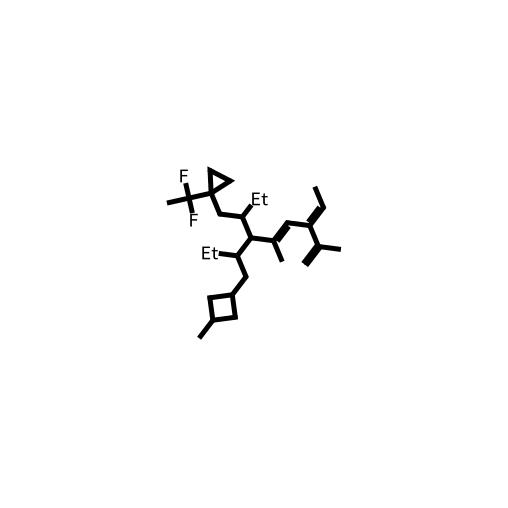 C=C(C)C(=C/C)/C=C(\C)C(C(CC)CC1CC(C)C1)C(CC)CC1(C(C)(F)F)CC1